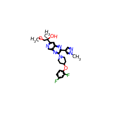 COC[C@@](C)(O)c1cc2nc(-c3cnn(C)c3)c(N3CCC(Oc4ccc(F)cc4F)CC3)nc2cn1